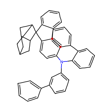 c1ccc(-c2cccc(N(c3ccc4c(c3)-c3ccccc3C43C4CC5CC(C4)C3C5)c3ccccc3-c3ccccc3)c2)cc1